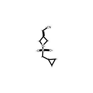 N#CC=C1CN(S(=O)(=O)CC2CC2)C1